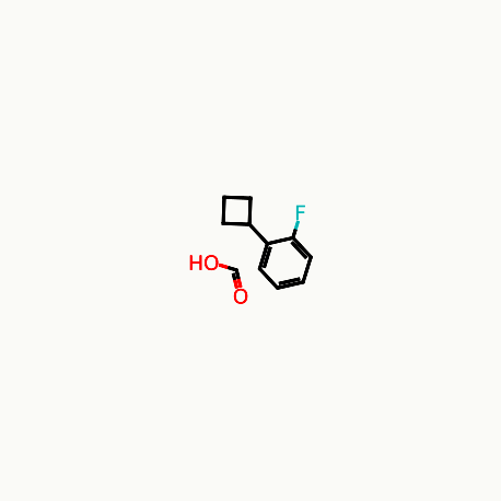 Fc1ccccc1C1CCC1.O=CO